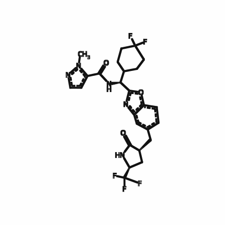 Cn1nccc1C(=O)N[C@H](c1nc2cc(C[C@H]3C[C@@H](C(F)(F)F)NC3=O)ccc2o1)C1CCC(F)(F)CC1